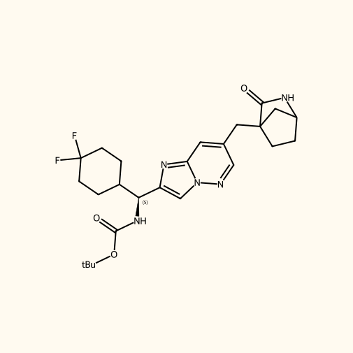 CC(C)(C)OC(=O)N[C@H](c1cn2ncc(CC34CCC(C3)NC4=O)cc2n1)C1CCC(F)(F)CC1